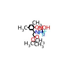 Cc1cc(C)c(O)c(C(N)CC(=O)OC(C)(C)C)c1.O=C(O)C(F)(F)F